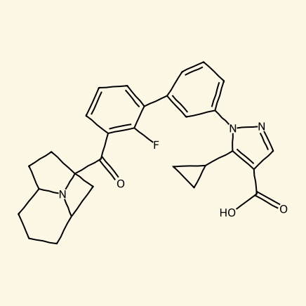 O=C(O)c1cnn(-c2cccc(-c3cccc(C(=O)C45CCC6CCCC(C4)N65)c3F)c2)c1C1CC1